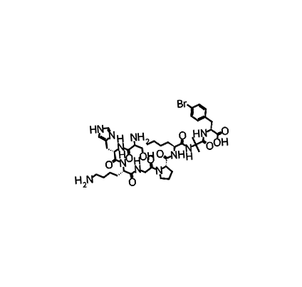 CCCC[C@H](NC(=O)[C@@H]1CCCN1C(=O)CNC(=O)[C@H](CCCCN)NC(=O)[C@H](Cc1c[nH]cn1)NC(=O)[C@@H](N)CO)C(=O)NC(C)(C)C(=O)N[C@@H](Cc1ccc(Br)cc1)C(=O)O